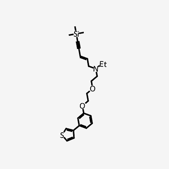 CCN(CC=CC#C[Si](C)(C)C)CCOCCOc1cccc(-c2ccsc2)c1